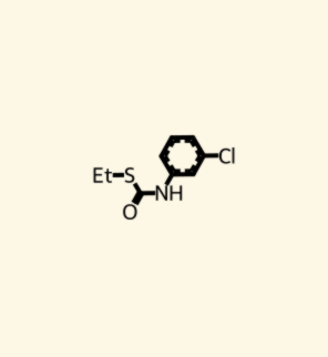 CCSC(=O)Nc1cccc(Cl)c1